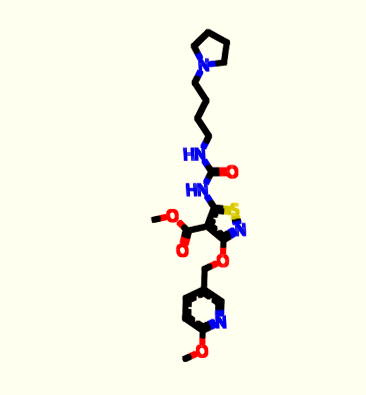 COC(=O)c1c(OCc2ccc(OC)nc2)nsc1NC(=O)NCCCCN1CCCC1